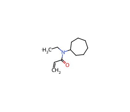 [CH2]CN(C(=O)C=C)C1CCCCCC1